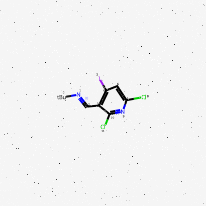 CC(C)(C)/N=C/c1c(I)cc(Cl)nc1Cl